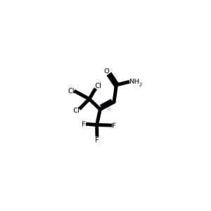 NC(=O)/C=C(/C(F)(F)F)C(Cl)(Cl)Cl